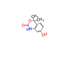 CC1(C)OC(=O)Nc2cc(O)ccc21